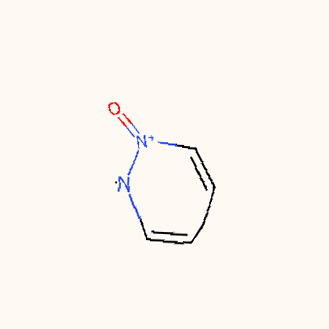 O=[N+]1C=CC=C[N]1